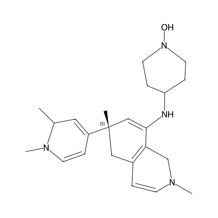 CC1C=C([C@]2(C)C=C(NC3CCN(O)CC3)C3=C(C=CN(C)C3)C2)C=CN1C